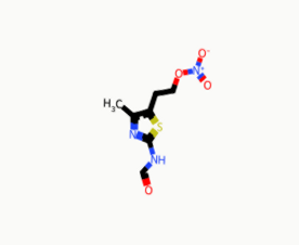 Cc1nc(NC=O)sc1CCO[N+](=O)[O-]